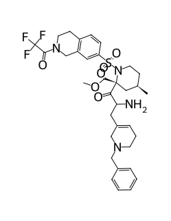 COC(=O)[C@]1(C(=O)C(N)CC2=CCCN(Cc3ccccc3)C2)C[C@H](C)CCN1S(=O)(=O)c1ccc2c(c1)CN(C(=O)C(F)(F)F)CC2